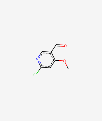 COc1cc(Cl)ncc1C=O